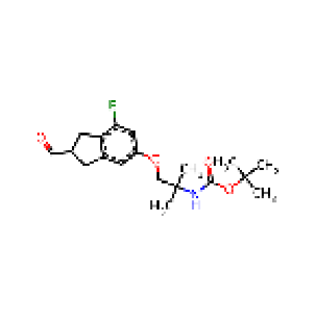 CC(C)(COc1cc(F)c2c(c1)CC(C=O)C2)NC(=O)OC(C)(C)C